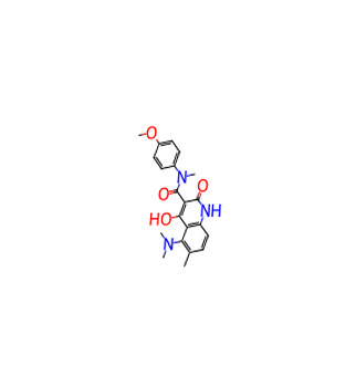 COc1ccc(N(C)C(=O)c2c(O)c3c(N(C)C)c(C)ccc3[nH]c2=O)cc1